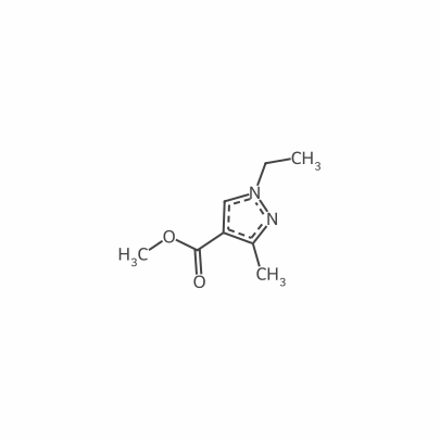 CCn1cc(C(=O)OC)c(C)n1